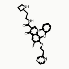 O=C(NCCC1CCCN1)c1cn2c3c(c(SCCc4cnccn4)c(F)cc3c1=O)Oc1ccccc1-2